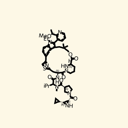 CCn1c(-c2cccnc2[C@H](C)OC)c2c3cc(ccc31)-c1csc(n1)C[C@H](NC(=O)C(C(C)C)N(C)C(=O)[C@H]1CCN(C(=O)[C@@H]3N[C@@H]3C3CC3)C1)C(=O)N1CCC[C@H](N1)C(=O)OCC(C)(C)C2